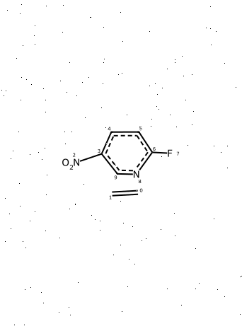 C=C.O=[N+]([O-])c1ccc(F)nc1